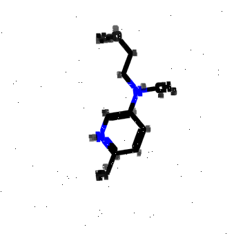 COCCN(C)c1ccc(C(C)C)nc1